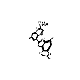 [CH2]C1COc2c(cc(C)c3nc(-c4cc(C)cc5nc(OC)cnc45)sc23)O1